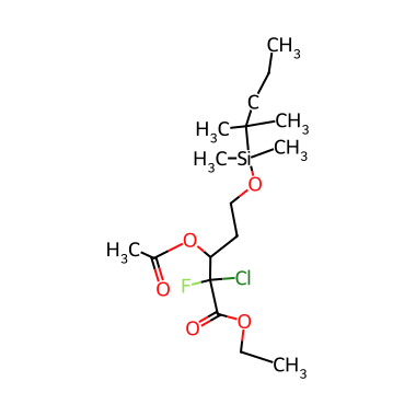 CCCC(C)(C)[Si](C)(C)OCCC(OC(C)=O)C(F)(Cl)C(=O)OCC